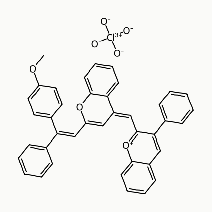 COc1ccc(C(=CC2=CC(=Cc3[o+]c4ccccc4cc3-c3ccccc3)c3ccccc3O2)c2ccccc2)cc1.[O-][Cl+3]([O-])([O-])[O-]